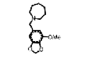 COc1cc(CN2CCCCCC2)cc2c1OCO2